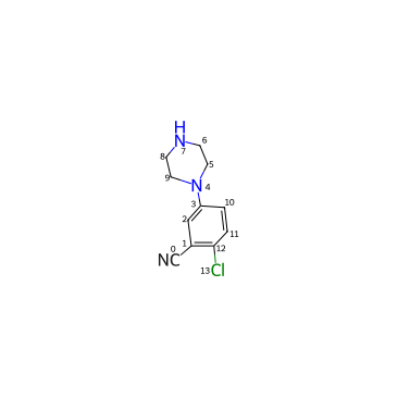 N#Cc1cc(N2CCNCC2)ccc1Cl